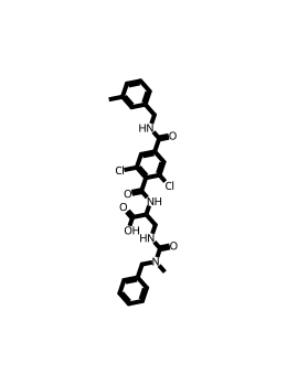 Cc1cccc(CNC(=O)c2cc(Cl)c(C(=O)NC(CNC(=O)N(C)Cc3ccccc3)C(=O)O)c(Cl)c2)c1